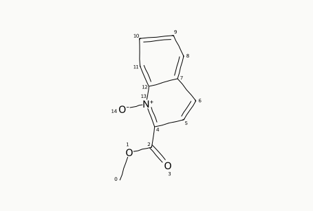 COC(=O)c1ccc2ccccc2[n+]1[O-]